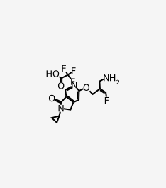 NC/C(=C/F)COc1cc2c(cn1)C(=O)N(C1CC1)C2.O=C(O)C(F)(F)F